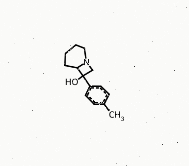 Cc1ccc(C2(O)CN3CCCCC32)cc1